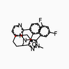 Cn1nc2c(c1-c1cc(F)cc(F)c1)CC1CCCC2N1C(=O)c1ccccc1-c1ncccn1